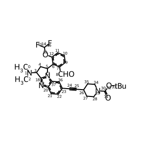 CN(C)C1CC(c2c(C=O)cccc2OC(F)F)n2c1nc1ccc(C#CC3CCN(C(=O)OC(C)(C)C)CC3)cc12